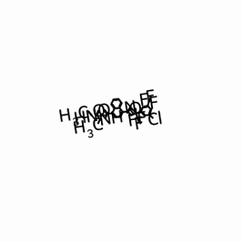 CCNC(=O)C(C)NC(=O)c1ccc(C2=NOC(c3cc(Cl)cc(C(F)(F)F)c3)(C(F)(F)F)C2)c2ccccc12